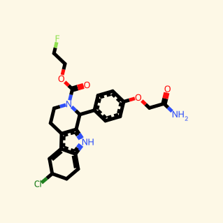 NC(=O)COc1ccc(C2c3[nH]c4c(c3CCN2C(=O)OCCF)=CC(Cl)CC=4)cc1